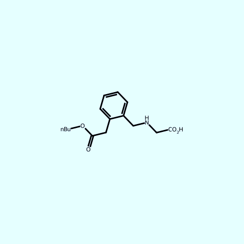 CCCCOC(=O)Cc1ccccc1CNCC(=O)O